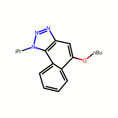 CCCCOc1cc2nnn(C(C)C)c2c2ccccc12